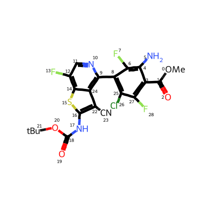 COC(=O)c1c(N)c(F)c(-c2ncc(F)c3sc(NC(=O)OC(C)(C)C)c(C#N)c23)c(Cl)c1F